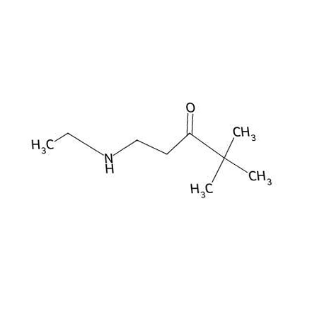 CCNCCC(=O)C(C)(C)C